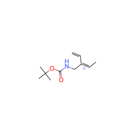 C=C/C(=C\C)CNC(=O)OC(C)(C)C